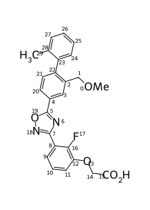 COCc1cc(-c2nc(-c3cccc(OCC(=O)O)c3F)no2)ccc1-c1ccccc1C